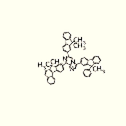 CC1(C)c2ccccc2-c2ccc(-c3cn4c(-c5ccc6c(c5)C(C)(c5ccccc5)c5ccccc5-6)cnc4c(-c4ccc5c(c4)C(C)(C)c4ccc6ccccc6c4-5)n3)cc21